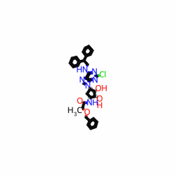 CC(OCc1ccccc1)C(=O)N[C@H]1C[C@@H](n2cnc3c(NCC(c4ccccc4)c4ccccc4)nc(Cl)nc32)[C@H](O)[C@@H]1O